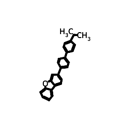 CC(C)c1ccc(-c2ccc(-c3ccc4c(c3)oc3ccccc34)cc2)cc1